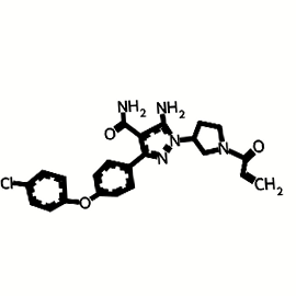 C=CC(=O)N1CCC(n2nc(-c3ccc(Oc4ccc(Cl)cc4)cc3)c(C(N)=O)c2N)C1